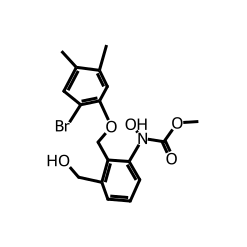 COC(=O)N(O)c1cccc(CO)c1COc1cc(C)c(C)cc1Br